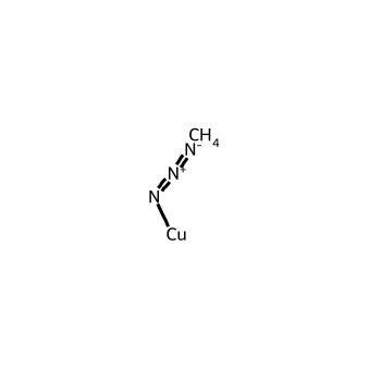 C.[N-]=[N+]=[N][Cu]